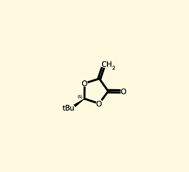 C=C1O[C@H](C(C)(C)C)OC1=O